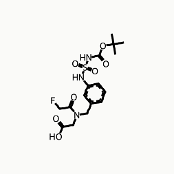 CC(C)(C)OC(=O)NS(=O)(=O)Nc1cccc(CN(CC(=O)O)C(=O)CF)c1